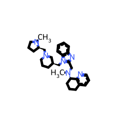 CN1CCC[C@@H]1CN1CCC[C@H](Cn2c(CN(C)[C@H]3CCCc4cccnc43)nc3ccccc32)C1